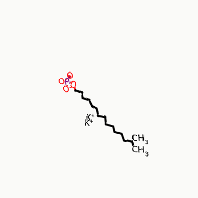 CC(C)CCCCCCCCCCCCCOP(=O)([O-])[O-].[K+].[K+]